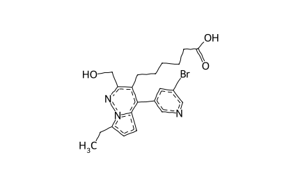 CCc1ccc2c(-c3cncc(Br)c3)c(CCCCCC(=O)O)c(CO)nn12